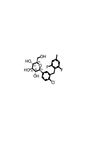 Cc1cc(F)c(Cc2cc([C@@H]3O[C@H](CO)[C@@H](O)[C@H](O)[C@H]3O)ccc2Cl)c(F)c1